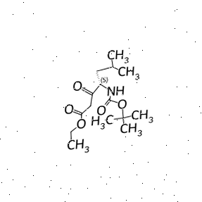 CCOC(=O)CC(=O)[C@H](CC(C)C)NC(=O)OC(C)(C)C